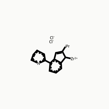 CC(C)C1=Cc2c(-c3ccccn3)cccc2[CH]1[Zr+2].[Cl-].[Cl-]